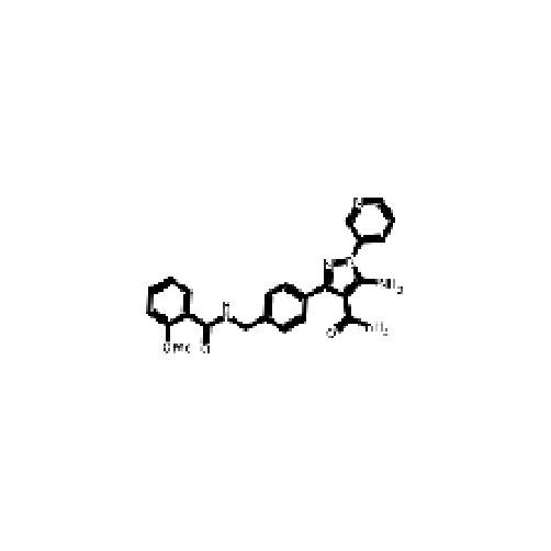 COc1ccccc1C(=O)NCc1ccc(-c2nn(-c3cccnc3)c(N)c2C(N)=O)cc1